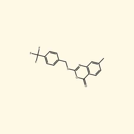 Cc1ccc2c(=O)oc(SCc3ccc(C(F)(F)F)cc3)nc2c1